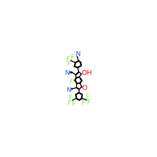 N#CC1=C(c2cc(C(F)(F)F)cc(C(F)(F)F)c2)C(=O)c2cc3c(c(F)c21)C(C#N)=C(c1ccc(C#N)c(C(F)(F)F)c1)C3O